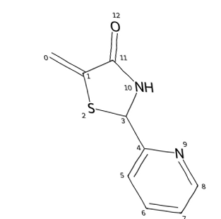 C=C1SC(c2ccccn2)NC1=O